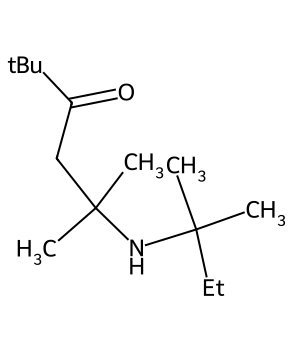 CCC(C)(C)NC(C)(C)CC(=O)C(C)(C)C